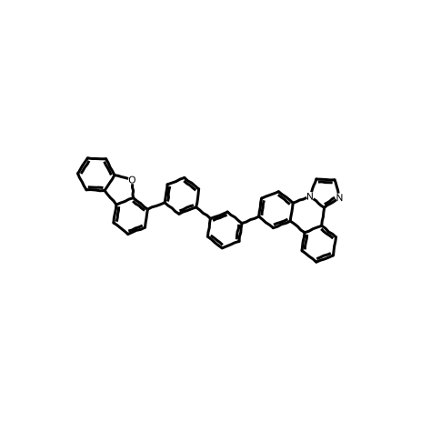 c1cc(-c2cccc(-c3cccc4c3oc3ccccc34)c2)cc(-c2ccc3c(c2)c2ccccc2c2nccn32)c1